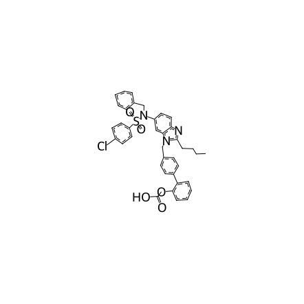 CCCCc1nc2ccc(N(Cc3ccccc3)S(=O)(=O)c3ccc(Cl)cc3)cc2n1Cc1ccc(-c2ccccc2OC(=O)O)cc1